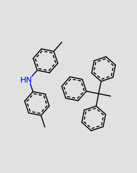 CC(c1ccccc1)(c1ccccc1)c1ccccc1.Cc1ccc(Nc2ccc(C)cc2)cc1